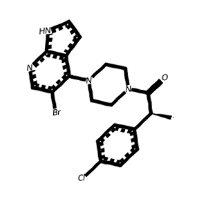 [CH2][C@H](C(=O)N1CCN(c2c(Br)cnc3[nH]ccc23)CC1)c1ccc(Cl)cc1